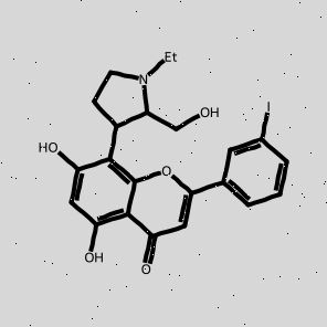 CCN1CCC(c2c(O)cc(O)c3c(=O)cc(-c4cccc(I)c4)oc23)C1CO